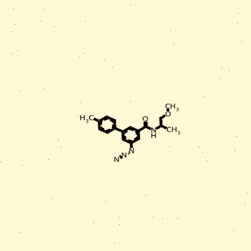 COCC(C)NC(=O)c1cc(N=[N+]=[N-])cc(-c2ccc(C)cc2)c1